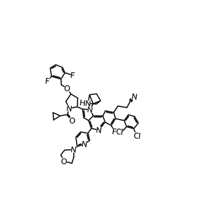 N#CCCc1cc2c(nc(-c3ccc(N4CCOCC4)nc3)c3cc(C4CC(OCc5c(F)cccc5F)CN4C(=O)C4CC4)n(C4C5CNC4C5)c32)c(F)c1-c1cccc(Cl)c1Cl